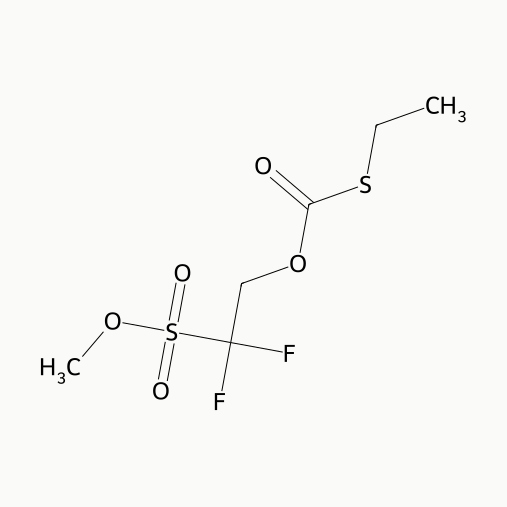 CCSC(=O)OCC(F)(F)S(=O)(=O)OC